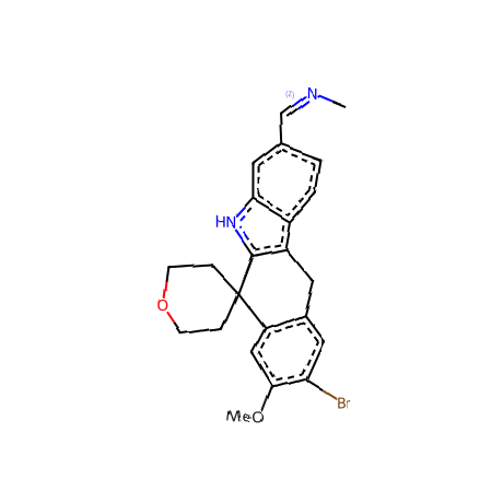 C/N=C\c1ccc2c3c([nH]c2c1)C1(CCOCC1)c1cc(OC)c(Br)cc1C3